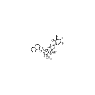 CC(C)OC(=O)[C@H](C)NP(=O)(OC[C@H]1O[C@@H](n2cc(F)c(=O)[nH]c2=O)C[C@H]1O)Oc1cccc2ccccc12